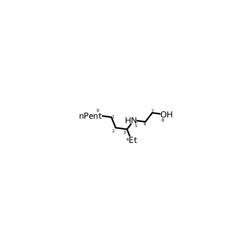 CCCCCCCC(CC)NCCO